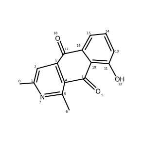 Cc1cc2c(c(C)n1)C(=O)c1c(O)cccc1C2=O